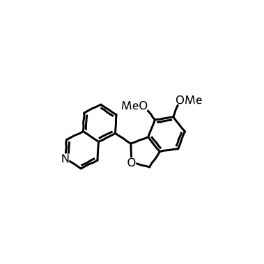 COc1ccc2c(c1OC)C(c1cccc3cnccc13)OC2